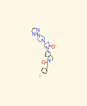 O=C1CC(N2CCN(c3ncccn3)CC2)CN1c1ccc2c(c1)CCN2C(=O)Cc1ccc(F)cc1